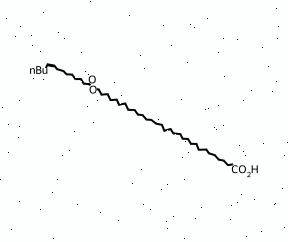 CCCC/C=C\CCCCCCCC(=O)OCCCCCCCCCCCCCCCCCCCCCCCCCCCCCCCC(=O)O